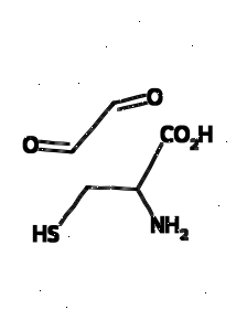 NC(CS)C(=O)O.O=CC=O